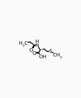 CCC(=O)N[C@@H](CCSC)C(=O)O